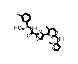 Cc1cnc(Nc2ccnn2C)nc1-c1coc(C(=O)N[C@H](CO)c2cccc(F)c2)n1